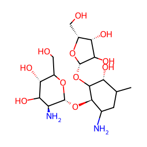 CC1CC(N)[C@@H](O[C@H]2OC(CO)[C@@H](O)C(O)[C@@H]2N)C(O[C@@H]2O[C@H](CO)[C@H](O)C2O)[C@@H]1O